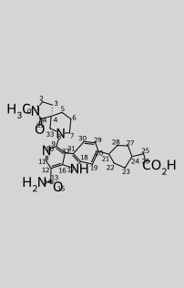 CN1CC[C@@]2(CCCN(c3ncc(C(N)=O)c4[nH]c5cc(C6CCC(CC(=O)O)CC6)ccc5c34)C2)C1=O